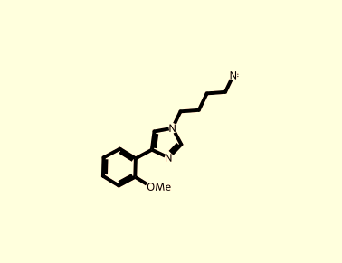 COc1ccccc1-c1cn(CCCC[N])cn1